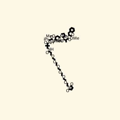 CCC(C)C(C(CC(=O)N1CCC[C@H]1C(OC)C(C)C(=O)NC(Cc1ccccc1)C(=O)OC)OC)N(C)C(=O)C(NC(=O)C(C)(C)CNC(=O)CCOCCOCCOCCOCCOCCOCCN1C(=O)C=CC1=O)C(C)C